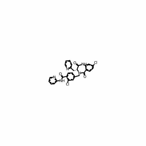 O=C(Nc1ccccn1)c1ccc(CN2C(=O)c3ccc(Cl)cc3NC(=O)[C@H]2Cc2ccccn2)cc1Cl